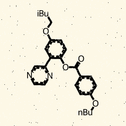 CCCCOc1ccc(C(=O)Oc2ccc(OCC(C)CC)cc2-c2cnccn2)cc1